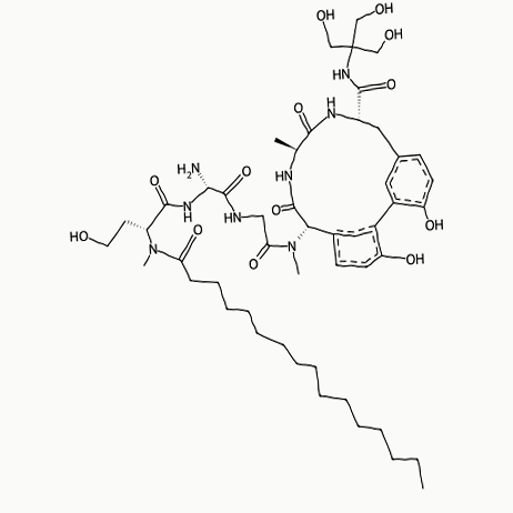 CCCCCCCCCCCCCCCC(=O)N(C)[C@H](CCO)C(=O)N[C@H](N)C(=O)NCC(=O)N(C)[C@@H]1C(=O)N[C@@H](C)C(=O)N[C@H](C(=O)NC(CO)(CO)CO)Cc2ccc(O)c(c2)-c2cc1ccc2O